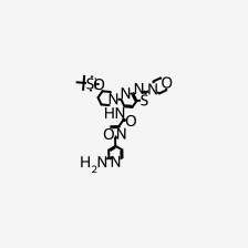 CC(C)(C)[Si](C)(C)OC1CCCN(c2nc3nc(N4CCOCC4)sc3cc2NC(=O)c2coc(-c3ccnc(N)c3)n2)C1